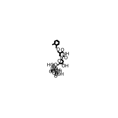 Cc1ccccc1COCc1cn([C@H]2C[C@H](O)[C@@H](COP(=O)(O)OP(=O)(O)OP(=O)(O)O)O2)c(=O)[nH]c1=O